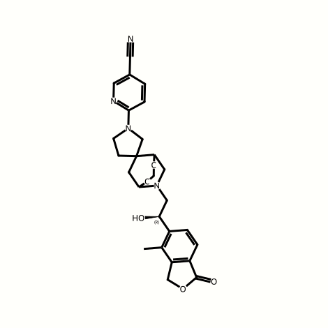 Cc1c([C@@H](O)CN2CC3CCCC2CC32CCN(c3ccc(C#N)cn3)C2)ccc2c1COC2=O